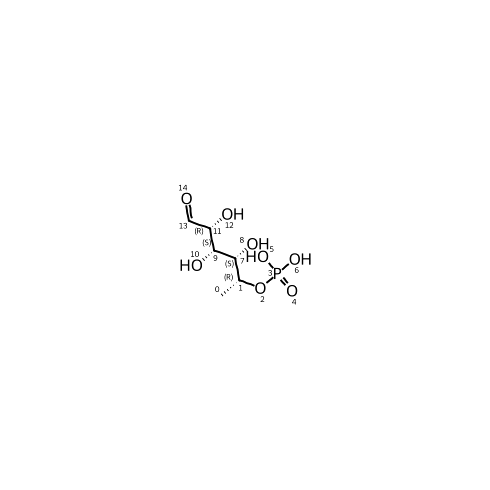 C[C@@H](OP(=O)(O)O)[C@@H](O)[C@H](O)[C@@H](O)C=O